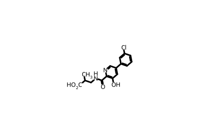 CC(CNC(=O)c1ncc(-c2cccc(Cl)c2)cc1O)C(=O)O